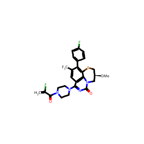 C=C(F)C(=O)N1CCN(c2nc(=O)n3c4c(c(-c5ccc(F)cc5)c(C(F)(F)F)cc24)SC[C@@H](OC)C3)CC1